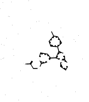 C[C@@H](Nc1nccc(-c2c(-c3ccc(F)cc3)nc3occn23)n1)C(N)=O